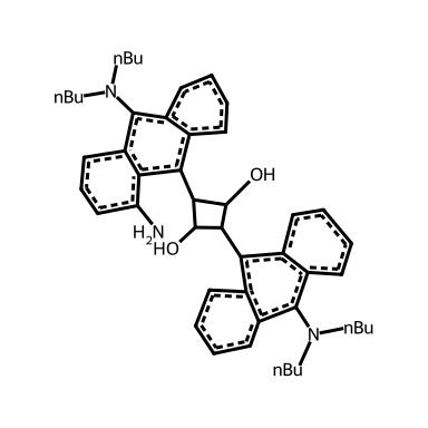 CCCCN(CCCC)c1c2ccccc2c(C2C(O)C(c3c4ccccc4c(N(CCCC)CCCC)c4cccc(N)c34)C2O)c2ccccc12